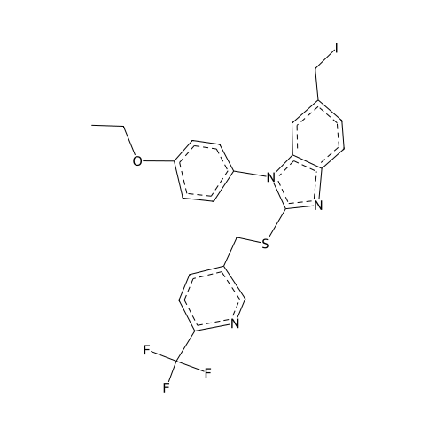 CCOc1ccc(-n2c(SCc3ccc(C(F)(F)F)nc3)nc3ccc(CI)cc32)cc1